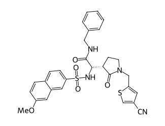 COc1ccc2ccc(S(=O)(=O)NC(C(=O)NCc3ccccc3)[C@@H]3CCN(Cc4cc(C#N)cs4)C3=O)cc2c1